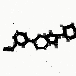 COc1cccc(N2CCc3oc(-c4ccccn4)nc3C2)c1